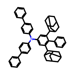 c1ccc(-c2ccc(N(c3ccc(-c4ccccc4)cc3)c3cc(C4C5CC6CC(C5)CC4C6)c(-c4ccccc4)c(C4C5CC6CC(C5)CC4C6)c3)cc2)cc1